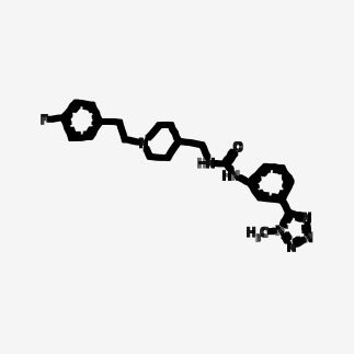 Cn1nnnc1-c1cccc(NC(=O)NCC2CCN(CCc3ccc(F)cc3)CC2)c1